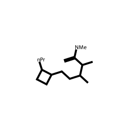 C=C(NC)C(C)C(C)CCC1CCC1CCC